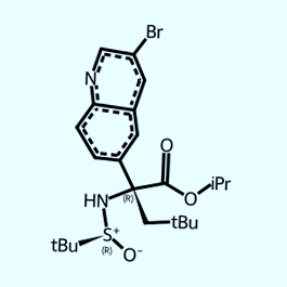 CC(C)OC(=O)[C@](CC(C)(C)C)(N[S@@+]([O-])C(C)(C)C)c1ccc2ncc(Br)cc2c1